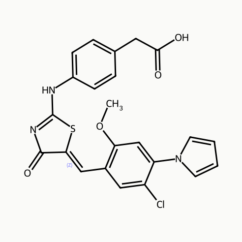 COc1cc(-n2cccc2)c(Cl)cc1/C=C1\SC(Nc2ccc(CC(=O)O)cc2)=NC1=O